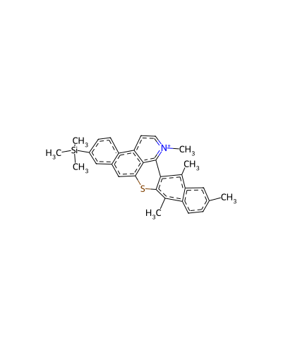 Cc1ccc2c(C)c3c(c(C)c2c1)-c1c2c(cc4cc([Si](C)(C)C)ccc4c2cc[n+]1C)S3